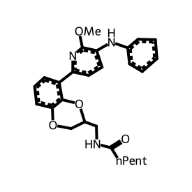 CCCCCC(=O)NCC1COc2cccc(-c3ccc(Nc4ccccc4)c(OC)n3)c2O1